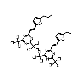 CCCc1ccc(/C=C/c2nc(C(Cl)(Cl)Cl)nc(C(Cl)(Cl)Cl)n2)o1.CCc1ccc(/C=C/c2nc(C(Cl)(Cl)Cl)nc(C(Cl)(Cl)Cl)n2)o1